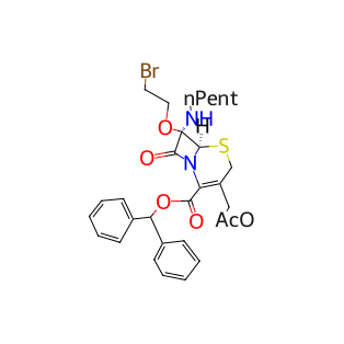 CCCCCN[C@@]1(OCCBr)C(=O)N2C(C(=O)OC(c3ccccc3)c3ccccc3)=C(COC(C)=O)CS[C@@H]21